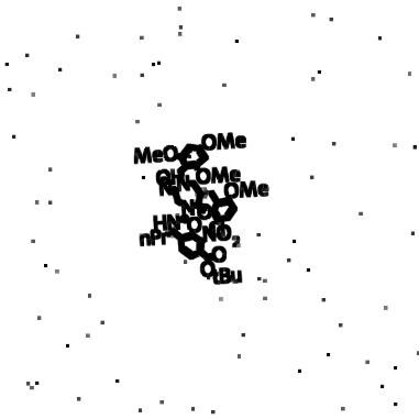 CCC[C@@H](NC(=O)N1CC(=NO)N(Cc2c(OC)cc(OC)cc2OC)C[C@H](Cc2cc(Cl)ccc2OC)C1=O)c1ccc(C(=O)OC(C)(C)C)c([N+](=O)[O-])c1